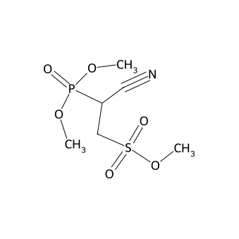 COP(=O)(OC)C(C#N)CS(=O)(=O)OC